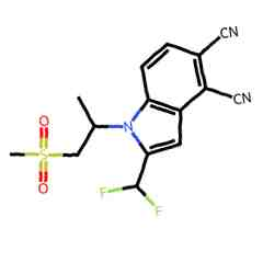 CC(CS(C)(=O)=O)n1c(C(F)F)cc2c(C#N)c(C#N)ccc21